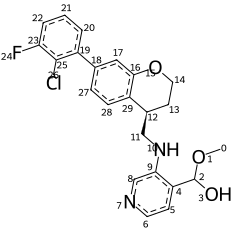 COC(O)c1ccncc1NC[C@@H]1CCOc2cc(-c3cccc(F)c3Cl)ccc21